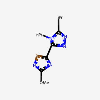 CCCn1c(-c2nc(OC)ns2)nnc1C(C)C